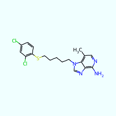 Cc1cnc(N)c2ncn(CCCCCSc3ccc(Cl)cc3Cl)c12